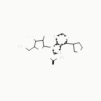 CC(C)=O.OCC1OC(n2cnc3c(C4CCOC4)ncnc32)C(O)C1O